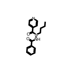 CCCCN(NC(=O)c1ccccc1)C(=O)c1ccncc1